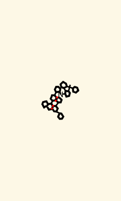 CC1(c2ccccc2)c2ccccc2-c2c(N(c3ccc(-c4cccc(-c5ccccc5)c4)cc3)c3ccccc3-c3ccc(-c4cccc5ccccc45)cc3)cccc21